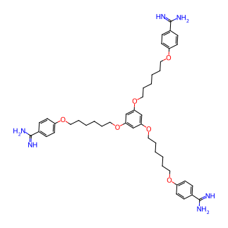 N=C(N)c1ccc(OCCCCCCOc2cc(OCCCCCCOc3ccc(C(=N)N)cc3)cc(OCCCCCCOc3ccc(C(=N)N)cc3)c2)cc1